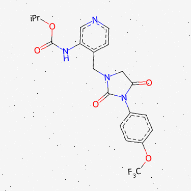 CC(C)OC(=O)Nc1cnccc1CN1CC(=O)N(c2ccc(OC(F)(F)F)cc2)C1=O